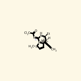 C=C1N[C@H]2[C@H](CC)N/C(=N\C(=O)C(Cl)(Cl)Cl)N3[C@@H](C)C=C[C@]23N1